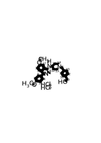 COc1ccc(-c2nnc(NC3CCN(Cc4ccc(CO)cc4)CC3)c3cc(OC)ccc23)cc1.Cl.Cl